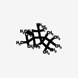 BC(C)(N)C1(C(C)(C=C)C(C)(C)C)C2(C)C(B)(C)C(C)(C)C21C